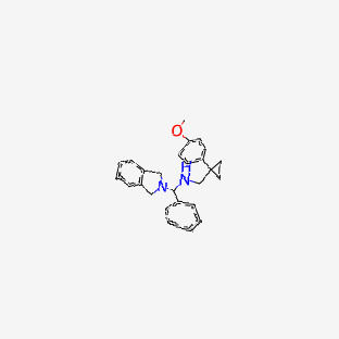 COc1ccc(C2(CNC(c3ccccc3)N3Cc4ccccc4C3)CC2)cc1